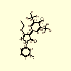 CCCC1=NN(c2cccc(Cl)c2)C(=O)C1=C1C=C(C(C)(C)C)C(=O)C(C(C)(C)C)=C1